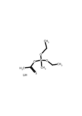 CCO[Si](C)(OCC)OC(C)=S.[LiH]